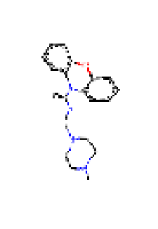 C=C(NCN1CCN(C)CC1)N1c2ccccc2Oc2ccccc21